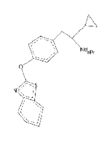 CCCNC(Cc1ccc(Oc2nc3ccccc3s2)cc1)C1CC1